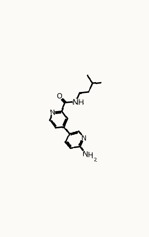 CC(C)CCNC(=O)c1cc(-c2ccc(N)nc2)ccn1